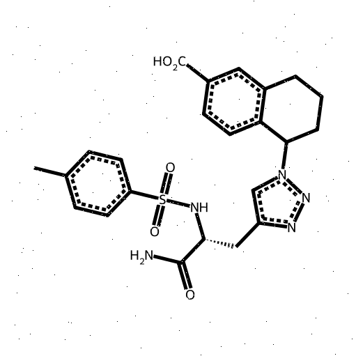 Cc1ccc(S(=O)(=O)N[C@H](Cc2cn(C3CCCc4cc(C(=O)O)ccc43)nn2)C(N)=O)cc1